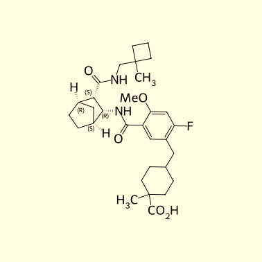 COc1cc(F)c(CC2CCC(C)(C(=O)O)CC2)cc1C(=O)N[C@@H]1[C@H]2CC[C@H](C2)[C@@H]1C(=O)NCC1(C)CCC1